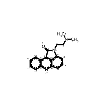 CN(C)CCN1C(=O)c2c3ccccc3nc3cccc1c23